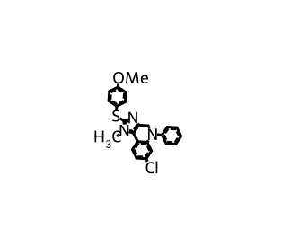 COc1ccc(Sc2nc3c(n2C)-c2ccc(Cl)cc2N(c2ccccc2)C3)cc1